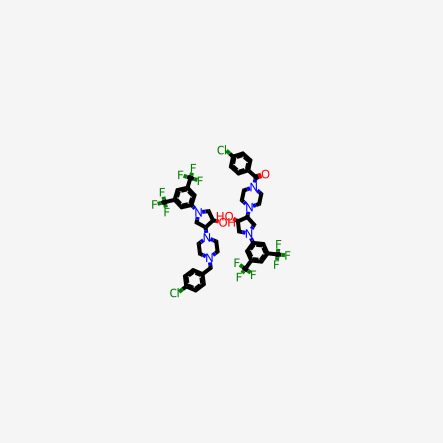 O=C(c1ccc(Cl)cc1)N1CCN(C2CN(c3cc(C(F)(F)F)cc(C(F)(F)F)c3)CC2O)CC1.OC1CN(c2cc(C(F)(F)F)cc(C(F)(F)F)c2)CC1N1CCN(Cc2ccc(Cl)cc2)CC1